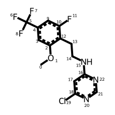 COc1cc(C(F)(F)F)cc(F)c1CCNc1cc(Cl)ncn1